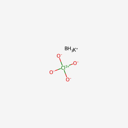 B.[K+].[O-][Cl+3]([O-])([O-])[O-]